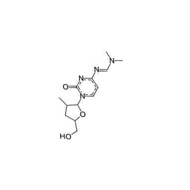 CC1CC(CO)OC1n1ccc(/N=C/N(C)C)nc1=O